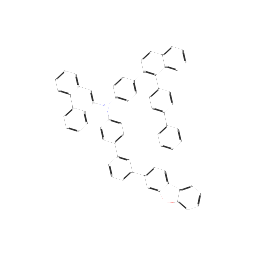 c1ccc(-c2ccc(-c3c(-c4ccc(N(c5ccc(-c6cccc(-c7ccc8c(c7)oc7ccccc78)c6)cc5)c5cc6ccccc6c6ccccc56)cc4)ccc4ccccc34)cc2)cc1